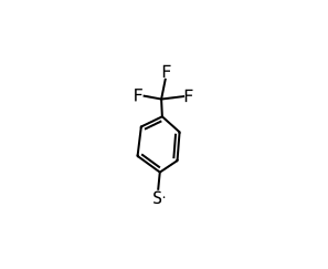 FC(F)(F)c1ccc([S])cc1